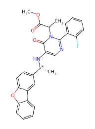 COC(=O)C(C)n1c(-c2ccccc2F)ncc(N[C@H](C)c2ccc3oc4ccccc4c3c2)c1=O